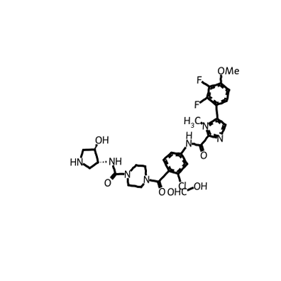 COc1ccc(-c2cnc(C(=O)Nc3ccc(C(=O)N4CCN(C(=O)N[C@@H]5CNC[C@H]5O)CC4)c(Cl)c3)n2C)c(F)c1F.O=CO